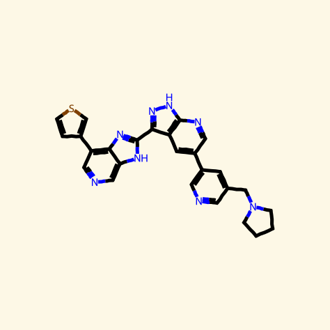 c1cc(-c2cncc3[nH]c(-c4n[nH]c5ncc(-c6cncc(CN7CCCC7)c6)cc45)nc23)cs1